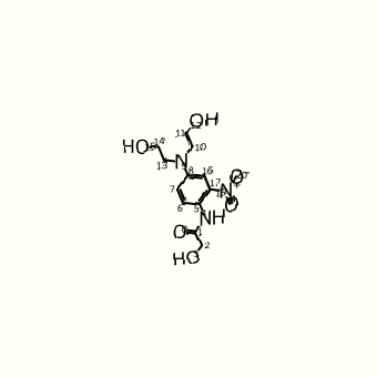 O=C(CO)Nc1ccc(N(CCO)CCO)cc1[N+](=O)[O-]